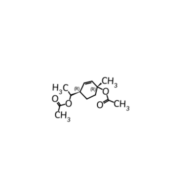 CC(=O)OC(C)[C@H]1C=C[C@](C)(OC(C)=O)CC1